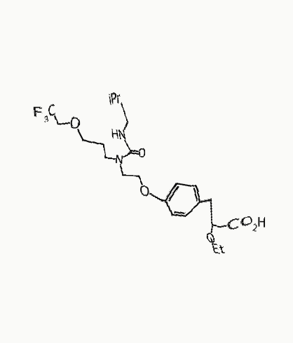 CCOC(Cc1ccc(OCCN(CCCOCC(F)(F)F)C(=O)NCC(C)C)cc1)C(=O)O